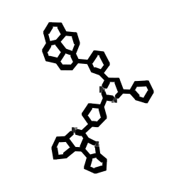 c1ccc(-c2cc(-c3cccc(-c4ccc5ccc6cccc7ccc4c5c67)c3)nc(-c3ccc(-c4nc5ccccc5c5c4sc4ccccc45)cc3)n2)cc1